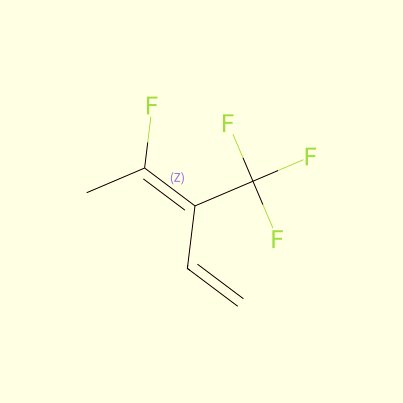 C=C/C(=C(\C)F)C(F)(F)F